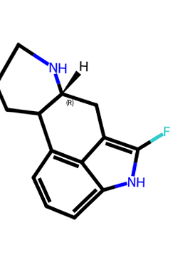 Fc1[nH]c2cccc3c2c1C[C@H]1NCCCC31